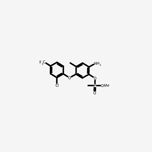 COP(C)(=O)Oc1cc(Oc2ccc(C(F)(F)F)cc2Cl)c(C)cc1N